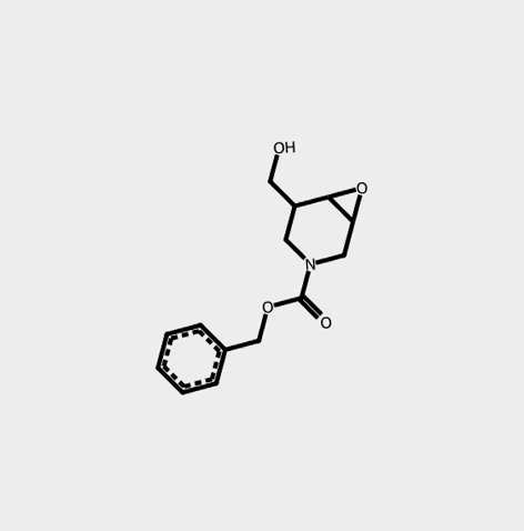 O=C(OCc1ccccc1)N1CC(CO)C2OC2C1